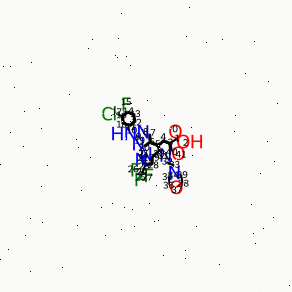 O=C(O)c1cc2c3cnc(Nc4ccc(F)c(Cl)c4)nc3n3nc(C(F)(F)F)cc3c2n(CCN2CCOCC2)c1=O